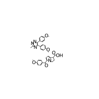 COc1ccc(-c2nnc(C)nc2-c2ccc(OC)cc2)cc1.COc1ccc(C(=O)c2ccc3n2CCC3C(=O)O)cc1